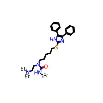 CCN(CC)CCN(CCCCCSc1nc(-c2ccccc2)c(-c2ccccc2)[nH]1)C(=O)NC(C)C